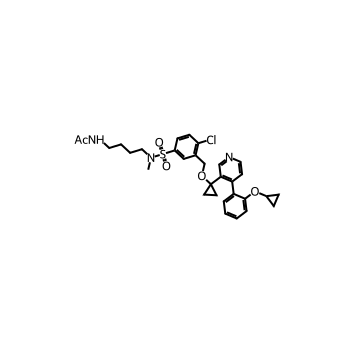 CC(=O)NCCCCN(C)S(=O)(=O)c1ccc(Cl)c(COC2(c3cnccc3-c3ccccc3OC3CC3)CC2)c1